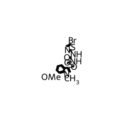 COc1cccc2c(S(=O)(=O)NC(=O)Nc3ncc(Br)s3)cn(C)c12